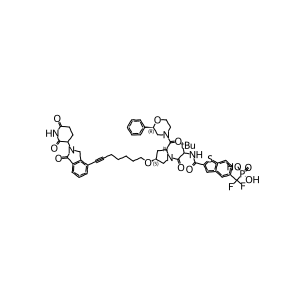 CC(C)(C)C(NC(=O)c1cc2cc(C(F)(F)P(=O)(O)O)ccc2s1)C(=O)N1C[C@@H](OCCCCCC#Cc2cccc3c2CN(C2CCC(=O)NC2=O)C3=O)C[C@H]1C(=O)N1CCO[C@H](c2ccccc2)C1